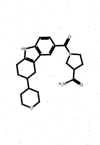 NC(=O)C1CCN(C(=O)c2ccc3[nH]c4c(c3c2)CC(C2CCOCC2)CC4)C1